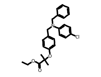 CCOC(=O)C(C)(C)Oc1ccc(CN(Cc2ccccc2)c2ccc(Cl)cc2)cc1